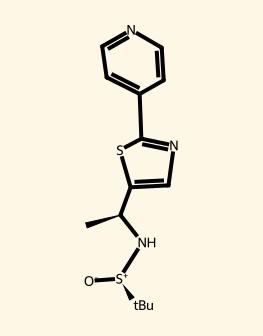 C[C@H](N[S@+]([O-])C(C)(C)C)c1cnc(-c2ccncc2)s1